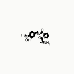 C[C@H](N)C(=O)N1CCC[C@H]1C(=O)NCc1ccc(B(O)O)cc1